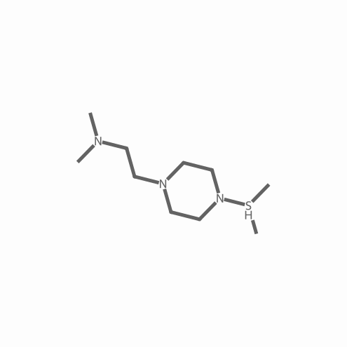 CN(C)CCN1CCN([SH](C)C)CC1